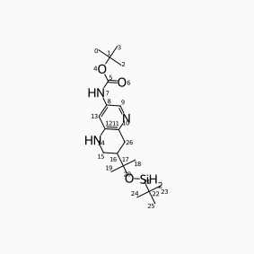 CC(C)(C)OC(=O)Nc1cnc2c(c1)NCC(C(C)(C)O[SiH2]C(C)(C)C)C2